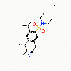 CCC(C)c1cc(C(C)C)c(S(=O)(=O)N(CC)CC)cc1CC#N